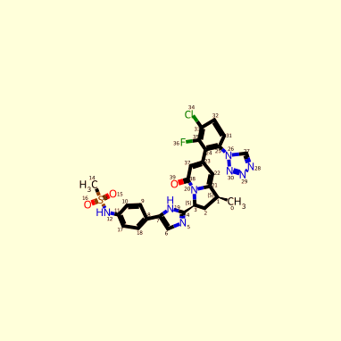 C[C@H]1C[C@@H](c2ncc(-c3ccc(NS(C)(=O)=O)cc3)[nH]2)n2c1cc(-c1c(-n3cnnn3)ccc(Cl)c1F)cc2=O